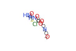 CSc1cc(C)[nH]c(=O)c1CNC(=O)c1cc(Cl)c2c(c1C)OC(C)(C1CCC(N3CC4(CCC(OC(C)C)CC4)C3)CC1)O2